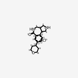 Cl.O=C1NCC2CNCC2c2ccc(C3CCOCC3)cc21